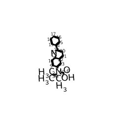 CC(C)(C)N(C(=O)O)c1ccc2nc(-c3ccccc3)ccc2c1